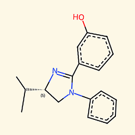 CC(C)[C@H]1CN(c2ccccc2)C(c2cccc(O)c2)=N1